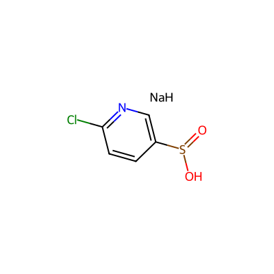 O=S(O)c1ccc(Cl)nc1.[NaH]